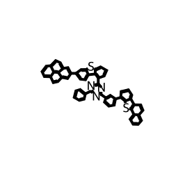 c1ccc(-c2nc(-c3cccc(-c4cccc5c4sc4c6ccccc6ccc54)c3)nc(-c3cccc4sc5cc(-c6cc7ccc8cccc9ccc(c6)c7c89)ccc5c34)n2)cc1